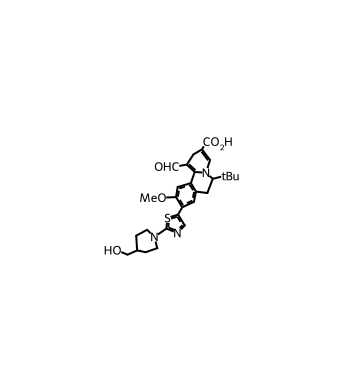 COc1cc2c(cc1-c1cnc(N3CCC(CO)CC3)s1)CC(C(C)(C)C)N1C=C(C(=O)O)CC(C=O)=C21